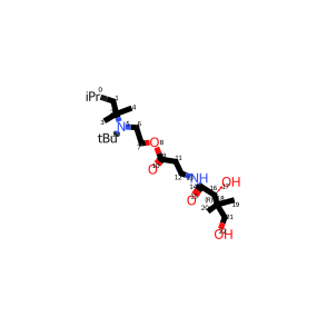 CC(C)CC(C)(C)N(CCOC(=O)CCNC(=O)[C@H](O)C(C)(C)CO)C(C)(C)C